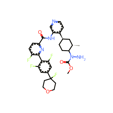 COC(=O)N(N)C1CC[C@@H](c2ccncc2NC(=O)c2ccc(F)c(-c3c(F)cc(C4(F)CCOCC4)cc3F)n2)C[C@@H]1C